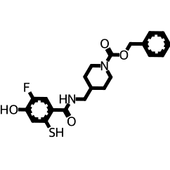 O=C(NCC1CCN(C(=O)OCc2ccccc2)CC1)c1cc(F)c(O)cc1S